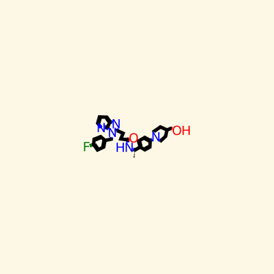 C[C@H](NC(=O)CCc1nc2cccnc2n1Cc1ccc(F)cc1)c1ccc(N2CCC(CO)CC2)cc1